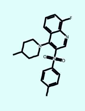 Cc1ccc(S(=O)(=O)c2cnc3c(F)cccc3c2N2CCC(C)CC2)cc1